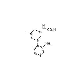 C[C@@H]1C[C@H](NC(=O)O)C[C@H](c2ccncc2N)C1